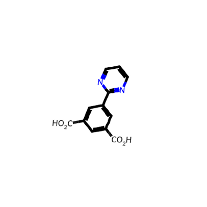 O=C(O)c1cc(C(=O)O)cc(-c2ncccn2)c1